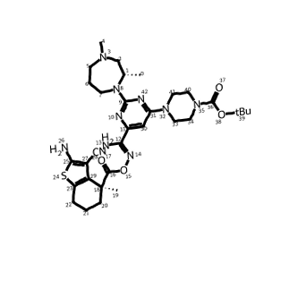 C[C@H]1CN(C)CCCN1c1nc(/C(N)=N/OC(=O)[C@@]2(C)CCCc3sc(N)c(C#N)c32)cc(N2CCN(C(=O)OC(C)(C)C)CC2)n1